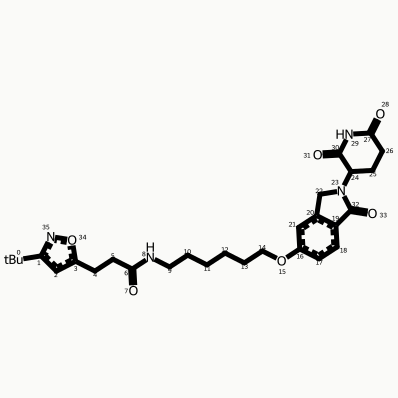 CC(C)(C)c1cc(CCC(=O)NCCCCCCOc2ccc3c(c2)CN(C2CCC(=O)NC2=O)C3=O)on1